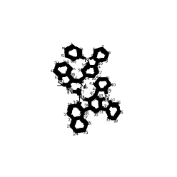 c1ccc(-n2c3ccccc3c3ccc(-c4nc(-n5c6ccc7ccccc7c6c6cc7c8ccccc8n8c9ccccc9c(c65)c78)nc5sc6ccccc6c45)cc32)cc1